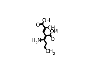 C=CCC(N)=C(C=C(C)C(=O)O)C(=O)O